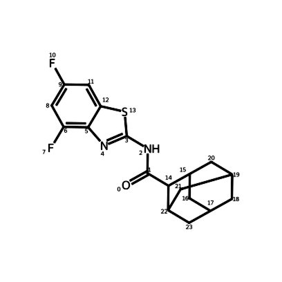 O=C(Nc1nc2c(F)cc(F)cc2s1)C1C2CC3CC(C2)CC1C3